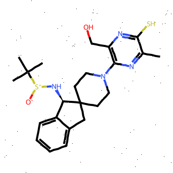 Cc1nc(N2CCC3(CC2)Cc2ccccc2[C@H]3N[S+]([O-])C(C)(C)C)c(CO)nc1S